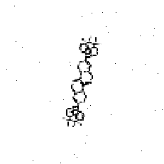 CC1(C)OB(c2ccc3c(ccc4c5ccc(B6OC(C)(C)C(C)(C)O6)cc5ccc34)c2)OC1(C)C